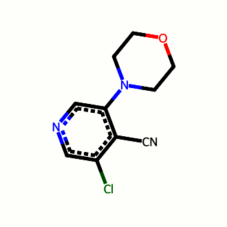 N#Cc1c(Cl)cncc1N1CCOCC1